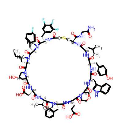 CCCC[C@H]1C(=O)N2C[C@H](O)C[C@@H]2C(=O)N[C@@H](CC(=O)O)C(=O)N[C@@H](C(C)C)C(=O)N(C)[C@@H](Cc2ccccc2)C(=O)N[C@@H](CCC(=O)O)C(=O)N2CCOC[C@@H]2C(=O)N[C@@H](Cc2c[nH]c3ccccc23)C(=O)N[C@@H](Cc2ccc(O)cc2)C(=O)N[C@@H](CC(C)C)C(=O)N[C@H](C(=O)NCC(N)=O)CSCC(=O)N[C@@H](Cc2cc(F)c(F)c(F)c2)C(=O)N(C)[C@@H](Cc2ccc(F)cc2)C(=O)N1C